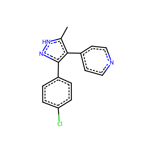 Cc1[nH]nc(-c2ccc(Cl)cc2)c1-c1ccncc1